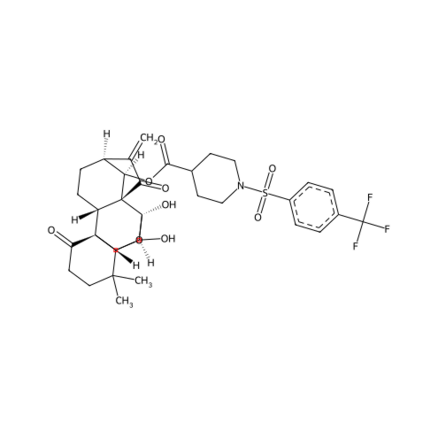 C=C1C(=O)[C@]23[C@H](OC(=O)C4CCN(S(=O)(=O)c5ccc(C(F)(F)F)cc5)CC4)[C@H]1CC[C@H]2[C@@]12CO[C@@]3(O)[C@@H](O)[C@@H]1C(C)(C)CCC2=O